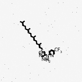 CC(C)=CCC/C(C)=C/CC/C(C)=C/CC/C(C)=C/CSCC(Nc1ccc(C(F)(F)F)cn1)/C(N)=N\C#N